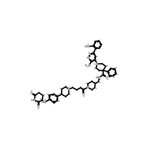 Nc1nnc(-c2ccccc2O)cc1N1CCC(C(=O)NCC2CCN(C(=O)CCCN3CCC(c4ccc(NC5CCC(=O)NC5=O)cc4)CC3)CC2)(c2ccccc2)CC1